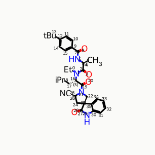 CCN(C(=O)[C@H](C)NC(=O)c1ccc(C(C)(C)C)cc1)[C@@H](CC(C)C)C(=O)N1C[C@]2(C[C@H]1C#N)C(=O)Nc1ccccc12